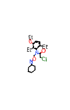 CCOc1ccc(CC)c(N(CON=C2CCCCC2)C(=O)CCl)c1CC